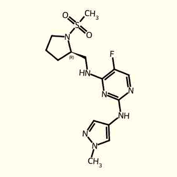 Cn1cc(Nc2ncc(F)c(NC[C@H]3CCCN3S(C)(=O)=O)n2)cn1